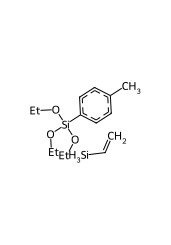 C=C[SiH3].CCO[Si](OCC)(OCC)c1ccc(C)cc1